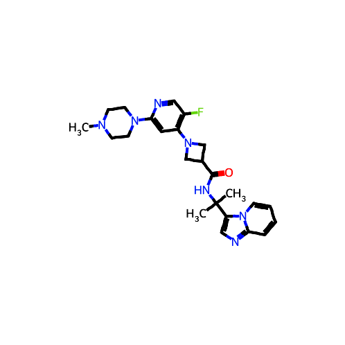 CN1CCN(c2cc(N3CC(C(=O)NC(C)(C)c4cnc5ccccn45)C3)c(F)cn2)CC1